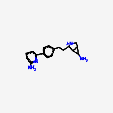 Nc1cccc(-c2ccc(CCC3NCC4C(N)C34)cc2)n1